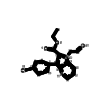 CCOC(=O)c1c(-c2ccc(Cl)cc2)c2ncccc2n1CC=O